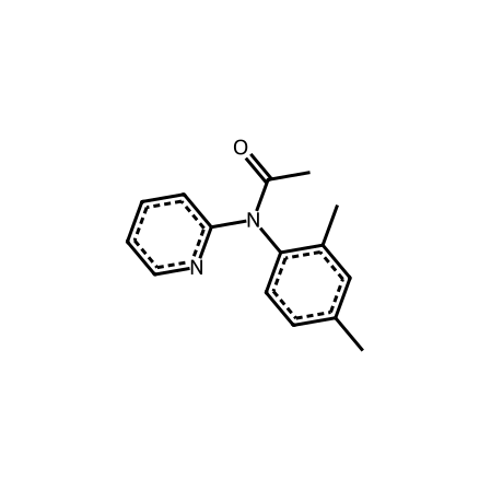 CC(=O)N(c1ccccn1)c1ccc(C)cc1C